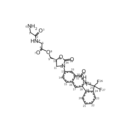 NCC(=O)NCC(=O)OC[C@@H]1CN(c2ccc3cc(-c4ccccc4C(F)(F)F)[nH]c(=O)c3c2)C(=O)O1